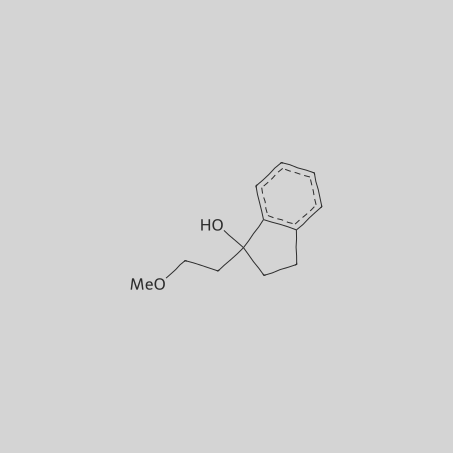 COCCC1(O)CCc2ccccc21